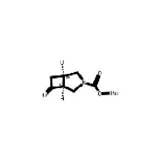 CC(C)(C)OC(=O)N1C[C@@H]2CC(=O)[C@@H]2C1